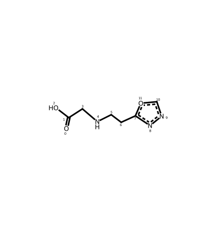 O=C(O)CNCCc1nnco1